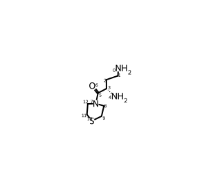 NCC[C@H](N)C(=O)N1CCSCC1